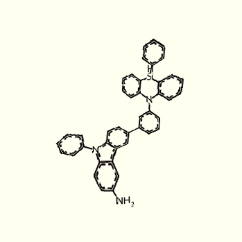 Nc1ccc2c(c1)c1cc(-c3cccc(N4c5ccccc5[SiH](c5ccccc5)c5ccccc54)c3)ccc1n2-c1ccccc1